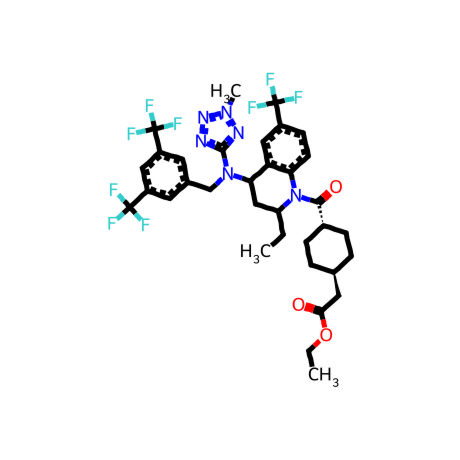 CCOC(=O)C[C@H]1CC[C@H](C(=O)N2c3ccc(C(F)(F)F)cc3C(N(Cc3cc(C(F)(F)F)cc(C(F)(F)F)c3)c3nnn(C)n3)CC2CC)CC1